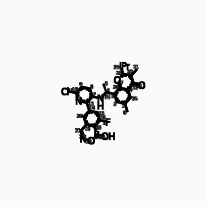 Cc1cc([C@H](C)Nc2ccc(Cl)nc2-c2cc(F)c3c(c2)C=NOB3O)c2oc(C(C)C)c(C)c(=O)c2c1